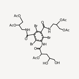 CC(=O)OCC(CNC(=O)c1c(Br)c(NC(=O)C(CC(O)CO)OC(C)=O)c(Br)c(C(=O)NCC(COC(C)=O)OC(C)=O)c1Br)OC(C)=O